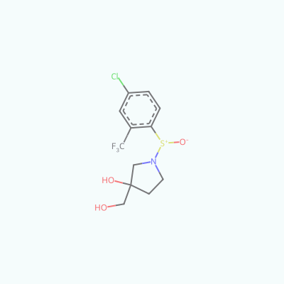 [O-][S+](c1ccc(Cl)cc1C(F)(F)F)N1CCC(O)(CO)C1